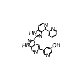 Oc1cncc(-c2cc3c(-c4nc5c(-c6ccccn6)nccc5[nH]4)n[nH]c3cn2)c1